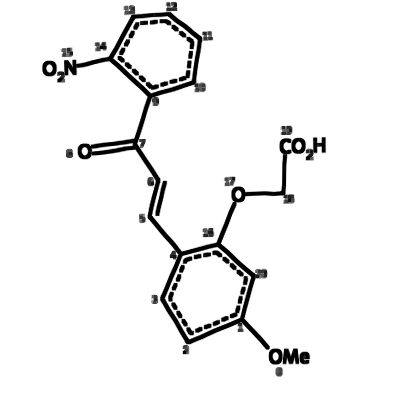 COc1ccc(C=CC(=O)c2ccccc2[N+](=O)[O-])c(OCC(=O)O)c1